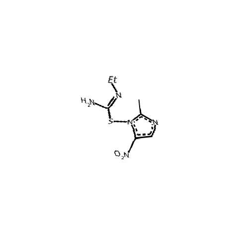 CCN=C(N)Sn1c([N+](=O)[O-])cnc1C